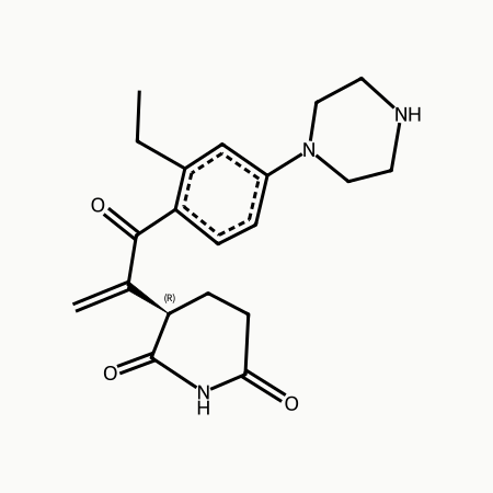 C=C(C(=O)c1ccc(N2CCNCC2)cc1CC)[C@H]1CCC(=O)NC1=O